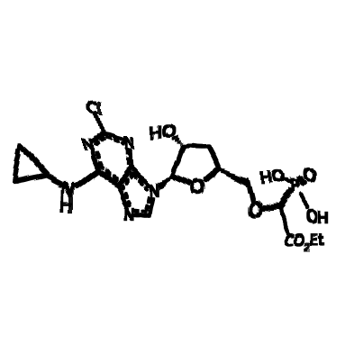 CCOC(=O)C(OC[C@@H]1C[C@@H](O)[C@H](n2cnc3c(NC4CC4)nc(Cl)nc32)O1)P(=O)(O)O